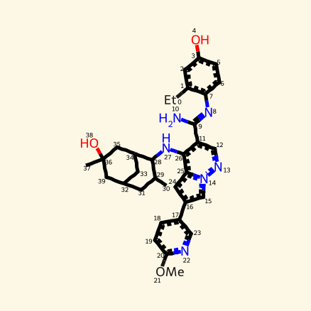 CCc1cc(O)ccc1/N=C(\N)c1cnn2cc(-c3ccc(OC)nc3)cc2c1NC1C(C)CC2CC1CC(C)(O)C2